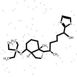 CC[Si](CC)(CC)OC1CCC[C@@]2(C)[C@H]1CC[C@H]2[C@H](C)CCCC(O)c1nccs1